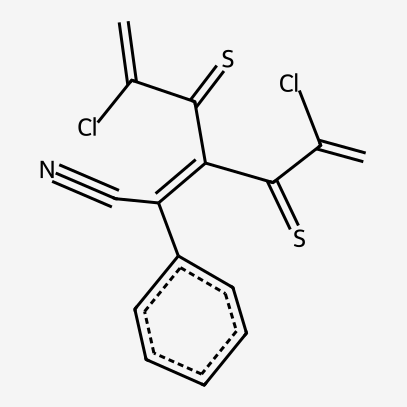 C=C(Cl)C(=S)C(C(=S)C(=C)Cl)=C(C#N)c1ccccc1